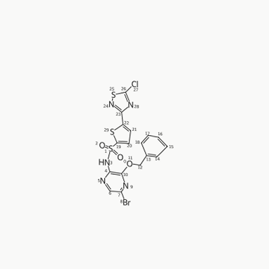 O=S(=O)(Nc1ncc(Br)nc1OCc1ccccc1)c1ccc(-c2nsc(Cl)n2)s1